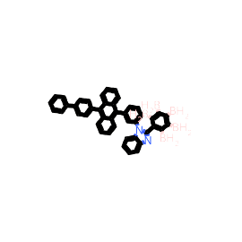 Bc1c(B)c(B)c(-c2nc3ccccc3n2-c2cccc(-c3c4ccccc4c(-c4ccc(-c5ccccc5)cc4)c4ccccc34)c2)c(B)c1B